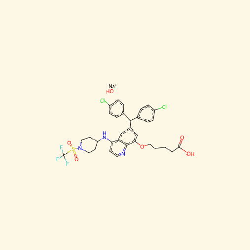 O=C(O)CCCCOc1cc(C(c2ccc(Cl)cc2)c2ccc(Cl)cc2)cc2c(NC3CCN(S(=O)(=O)C(F)(F)F)CC3)ccnc12.[Na+].[OH-]